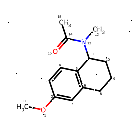 COc1ccc2c(c1)CCCC2N(C)C(C)=O